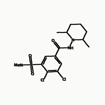 CNS(=O)(=O)c1cc(C(=O)NN2C(C)CCCC2C)cc(Cl)c1Cl